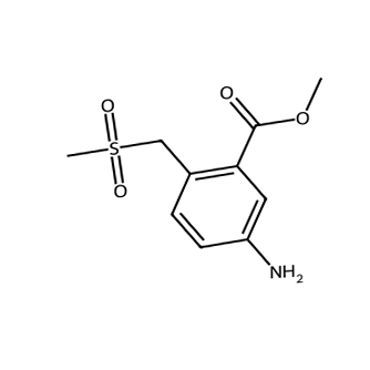 COC(=O)c1cc(N)ccc1CS(C)(=O)=O